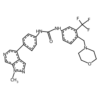 Cn1ncc2c(-c3ccc(NC(=O)Nc4ccc(CN5CCOCC5)c(C(F)(F)F)c4)cc3)cncc21